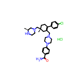 C[C@H]1CN(C[C@]2(C)CCC(c3ccc(Cl)cc3)=C(CN3CCN(c4ccc(C(N)=O)cc4)CC3)C2)CCN1.Cl